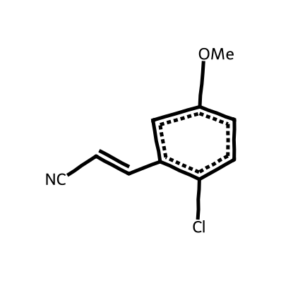 COc1ccc(Cl)c(/C=C/C#N)c1